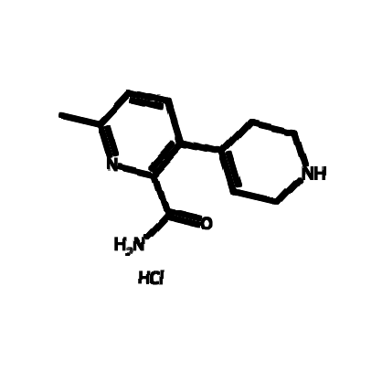 Cc1ccc(C2=CCNCC2)c(C(N)=O)n1.Cl